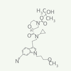 COCCCn1cc(CCN(C(=O)[C@H]2CN(C(=O)OC(C)(C)O)CCO2)C2CC2)c2ccc(C#N)cc21